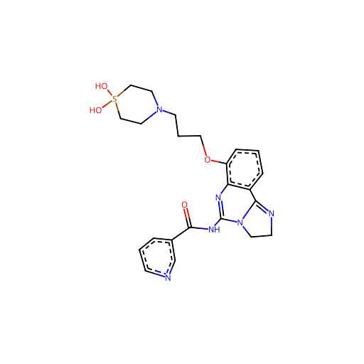 O=C(NC1=Nc2c(OCCCN3CCS(O)(O)CC3)cccc2C2=NCCN12)c1cccnc1